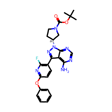 CC(C)(C)OC(=O)N1CC[C@@H](n2nc(-c3ccc(Oc4ccccc4)nc3F)c3c(N)ncnc32)C1